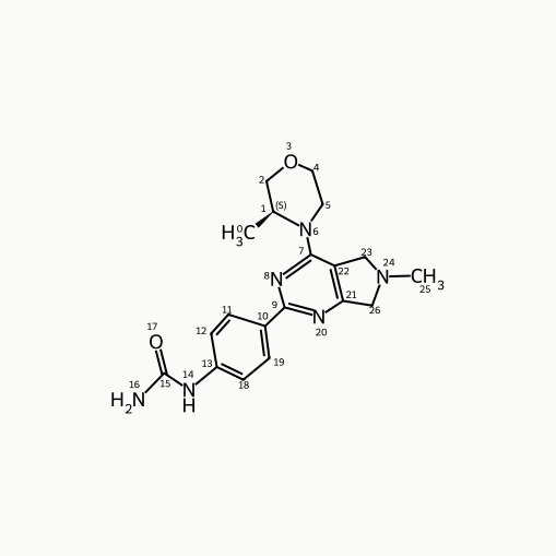 C[C@H]1COCCN1c1nc(-c2ccc(NC(N)=O)cc2)nc2c1CN(C)C2